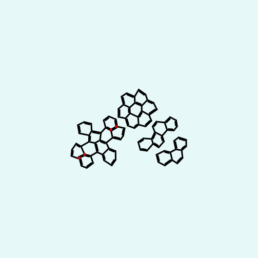 c1cc2ccc3ccc4ccc5ccc6ccc1c1c2c3c4c5c61.c1ccc(-c2c3ccccc3c(-c3ccccc3)c3c(-c4ccccc4)c4ccccc4c(-c4ccccc4)c23)cc1.c1ccc2c(c1)ccc1c3ccccc3ccc21.c1ccc2c(c1)ccc1ccccc12